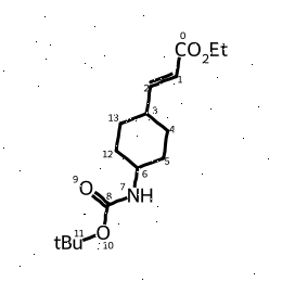 CCOC(=O)/C=C/C1CCC(NC(=O)OC(C)(C)C)CC1